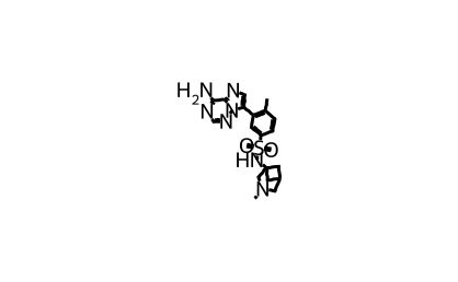 Cc1ccc(S(=O)(=O)NC23CC(CN(C)C2)C3)cc1-c1cnc2c(N)ncnn12